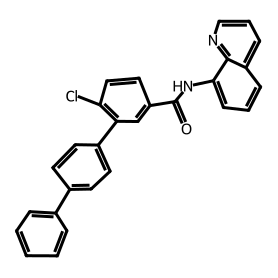 O=C(Nc1cccc2cccnc12)c1ccc(Cl)c(-c2ccc(-c3ccccc3)cc2)c1